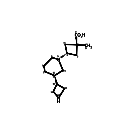 C[C@]1(C(=O)O)C[C@H](N2CCC[C@H](C3CNC3)C2)C1